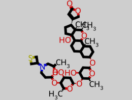 CC1CN(C2CSC2)CCC(O[C@@H]2[C@H](C)O[C@@H](O[C@@H]3[C@H](C)O[C@@H](O[C@H]4CC[C@@]5(C)C(CCC6C5O[C@@H](C)[C@]5(C)[C@@H](C7=CC(=O)OC7)CC[C@]65O)C4)C[C@@H]3O)C[C@@H]2O)O1